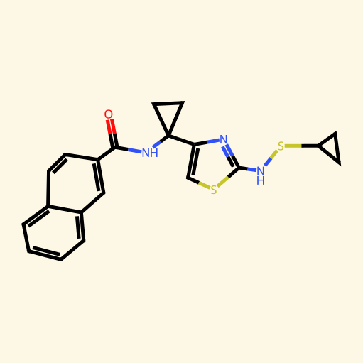 O=C(NC1(c2csc(NSC3CC3)n2)CC1)c1ccc2ccccc2c1